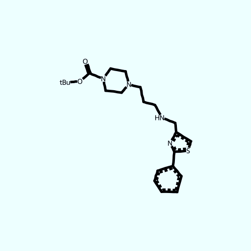 CC(C)(C)OC(=O)N1CCN(CCCNCc2csc(-c3ccccc3)n2)CC1